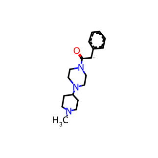 CN1CCC(N2CCN(C(=O)[CH]c3ccccc3)CC2)CC1